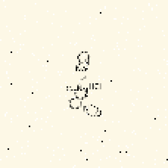 Cl.O=c1c2cccc(N3CCOCC3)c2cnn1CCc1cn2ccccc2n1